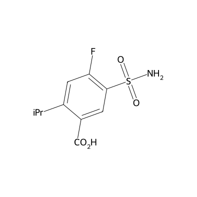 CC(C)c1cc(F)c(S(N)(=O)=O)cc1C(=O)O